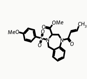 C/C=C/C(=O)N1CC(C(=O)OC)N(S(=O)(=O)c2ccc(OC)cc2)Cc2ccccc21